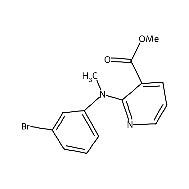 COC(=O)c1cccnc1N(C)c1cccc(Br)c1